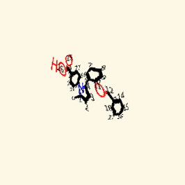 Cc1ccc(-c2ccccc2OCc2ccccc2)n1-c1ccc(C(=O)O)cc1